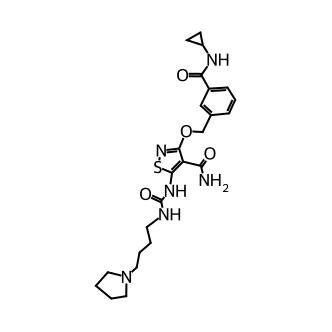 NC(=O)c1c(OCc2cccc(C(=O)NC3CC3)c2)nsc1NC(=O)NCCCCN1CCCC1